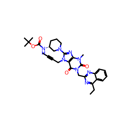 CC#CCn1c(N2CCC[C@@H](NC(=O)OC(C)(C)C)C2)nc2c1c(=O)n(Cc1nc(CC)c3ccccc3n1)c(=O)n2C